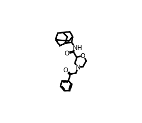 O=C(CN1CCOC(C(=O)NC2C3CC4CC(C3)CC2C4)C1)c1ccccc1